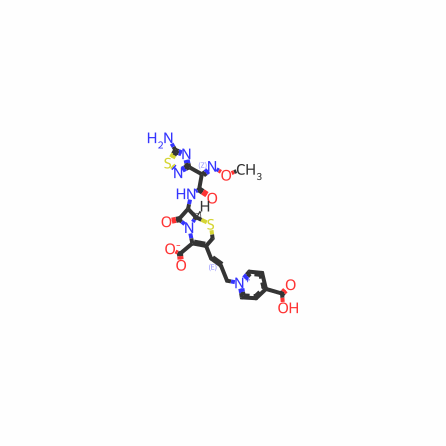 CO/N=C(\C(=O)NC1C(=O)N2C(C(=O)[O-])=C(/C=C/C[n+]3ccc(C(=O)O)cc3)CS[C@H]12)c1nsc(N)n1